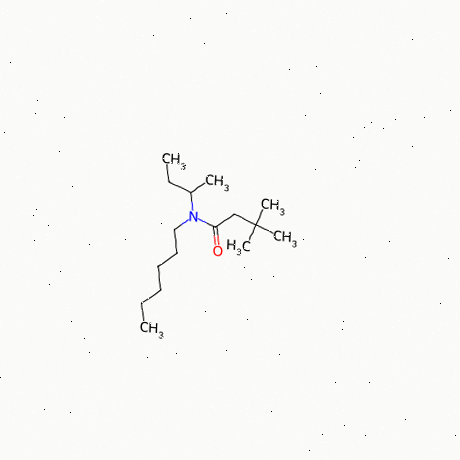 CCCCCCN(C(=O)CC(C)(C)C)C(C)CC